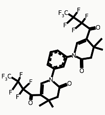 CC1(C)CC(=O)N(c2cccc(N3C=C(C(=O)C(F)(F)C(F)(F)C(F)(F)F)C(C)(C)CC3=O)c2)C=C1C(=O)C(F)(F)C(F)(F)C(F)(F)F